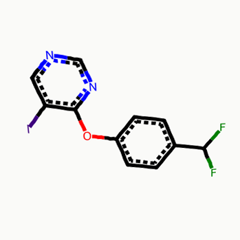 FC(F)c1ccc(Oc2ncncc2I)cc1